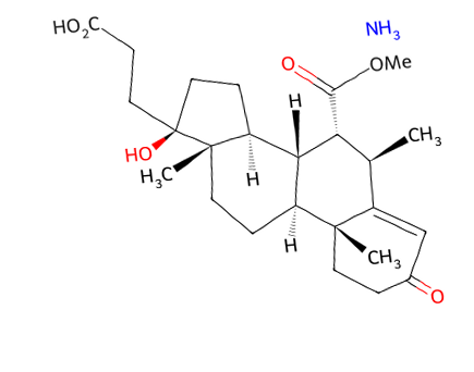 COC(=O)[C@H]1[C@@H]2[C@H](CC[C@@]3(C)[C@H]2CC[C@@]3(O)CCC(=O)O)[C@@]2(C)CCC(=O)C=C2[C@@H]1C.N